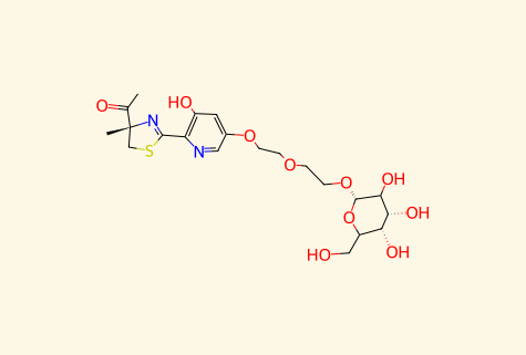 CC(=O)[C@@]1(C)CSC(c2ncc(OCCOCCO[C@H]3OC(CO)[C@@H](O)[C@@H](O)C3O)cc2O)=N1